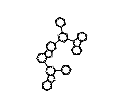 c1ccc(-c2nc(-c3ccc4c(c3)oc3c(-c5nc(-c6ccccc6)c6sc7ccccc7c6n5)cccc34)nc(-n3c4ccccc4c4ccccc43)n2)cc1